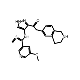 C=S=C(Nc1c[nH]nc1C(=O)Cc1ccc2c(c1)CCNC2)c1cncc(OC)c1